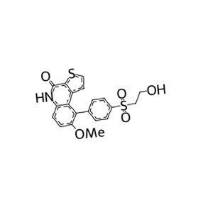 COc1ccc2[nH]c(=O)c3sccc3c2c1-c1ccc(S(=O)(=O)CCO)cc1